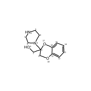 OCC1(N2CCNCC2)COc2ccccc2O1